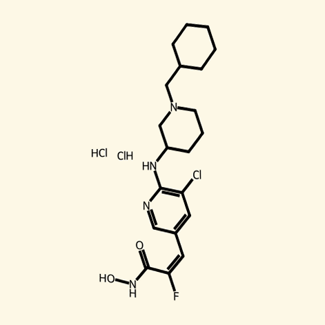 Cl.Cl.O=C(NO)/C(F)=C\c1cnc(NC2CCCN(CC3CCCCC3)C2)c(Cl)c1